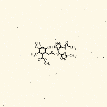 COC(=O)c1c(C)c(OC)cc(O)c1CSC[C@@H](c1nc(C)no1)n1nnnc1NC(C)=O